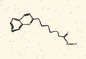 O=C(CCCCCCc1ccc2ccccc2n1)NO